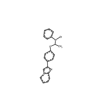 CCN(c1ccccc1)C(C)Oc1ccc(-c2cn3ccccc3n2)cc1